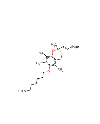 CCCCCCCC=CC1(C)CCc2c(C)c(OCCCCCCS(=O)(=O)O)c(C)c(C)c2O1